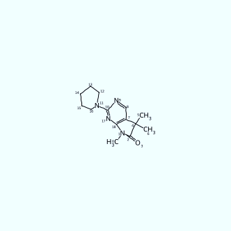 CN1C(=O)C(C)(C)c2cnc(N3CCCCC3)nc21